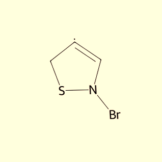 BrN1C=[C]CS1